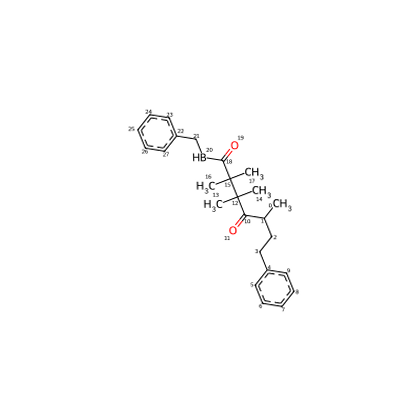 CC(CCc1ccccc1)C(=O)C(C)(C)C(C)(C)C(=O)BCc1ccccc1